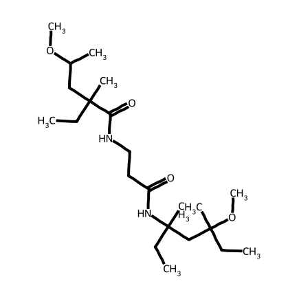 CCC(C)(CC(C)(CC)OC)NC(=O)CCNC(=O)C(C)(CC)CC(C)OC